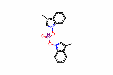 Cc1cn(O[PH](=O)On2cc(C)c3ccccc32)c2ccccc12